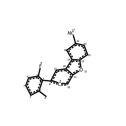 Cc1cccc(F)c1-c1ccc2oc3ccc(C#N)cc3c2c1